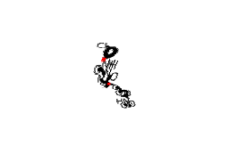 CS(=O)(=O)NCC1COC(COCc2csc3nc(C(=O)NCc4cccc(Cl)c4)[nH]c(=O)c23)CO1